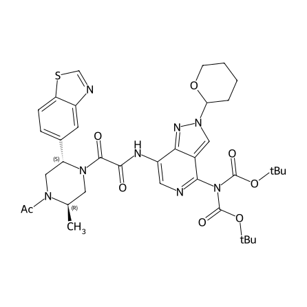 CC(=O)N1C[C@H](c2ccc3scnc3c2)N(C(=O)C(=O)Nc2cnc(N(C(=O)OC(C)(C)C)C(=O)OC(C)(C)C)c3cn(C4CCCCO4)nc23)C[C@H]1C